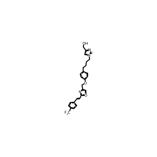 OCc1cn(CCCCc2ccc(OCc3coc(C=Cc4ccc(C(F)(F)F)cc4)n3)cc2)nn1